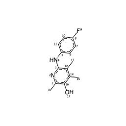 Cc1nc(Nc2ccc(F)cc2)c(C)c(C)c1O